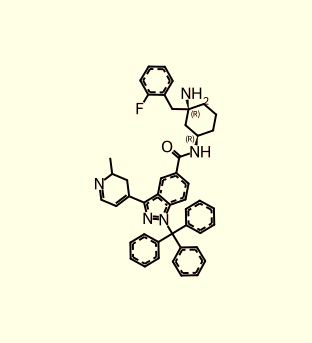 CC1CC(c2nn(C(c3ccccc3)(c3ccccc3)c3ccccc3)c3ccc(C(=O)N[C@@H]4CCC[C@@](N)(Cc5ccccc5F)C4)cc23)=CC=N1